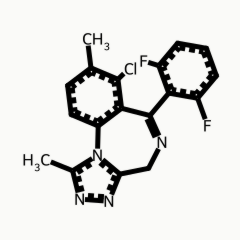 Cc1ccc2c(c1Cl)C(c1c(F)cccc1F)=NCc1nnc(C)n1-2